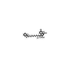 CO[C@@H](CNCCCCCCOCC(F)(F)c1ccccc1)c1ccc(O)c2[nH]c(=O)ccc12